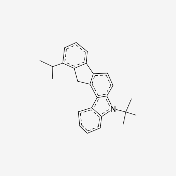 CC(C)c1cccc2c1Cc1c-2ccc2c1c1ccccc1n2C(C)(C)C